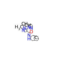 CC(C)(C)n1ncc(C(=O)N[C@H]2CCC3CC4CC(C3)C2C4)c1-n1cccn1